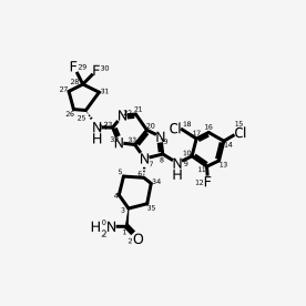 NC(=O)[C@H]1CC[C@H](n2c(Nc3c(F)cc(Cl)cc3Cl)nc3cnc(N[C@@H]4CCC(F)(F)C4)nc32)CC1